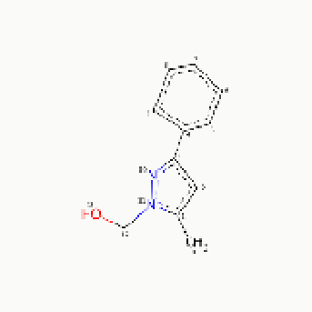 Cc1cc(-c2ccccc2)nn1CO